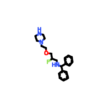 FC(CNC(c1ccccc1)c1ccccc1)COCCN1CCNCC1